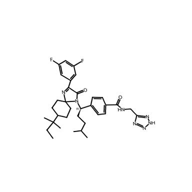 CCC(C)(C)C1CCC2(CC1)N=C(c1cc(F)cc(F)c1)C(=O)N2[C@H](CCC(C)C)c1ccc(C(=O)NCc2nn[nH]n2)cc1